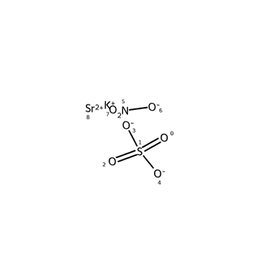 O=S(=O)([O-])[O-].O=[N+]([O-])[O-].[K+].[Sr+2]